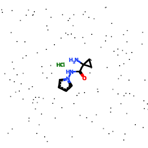 Cl.NC1(C(=O)Nn2cccc2)CC1